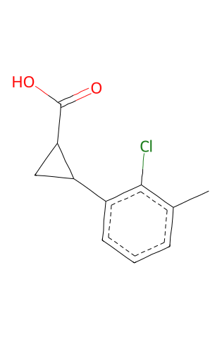 Cc1cccc(C2CC2C(=O)O)c1Cl